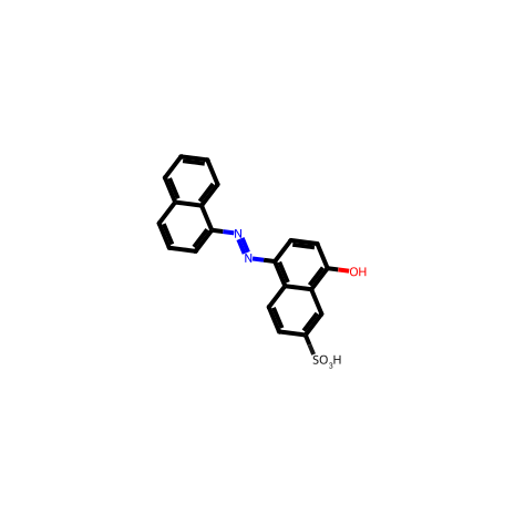 O=S(=O)(O)c1ccc2c(N=Nc3cccc4ccccc34)ccc(O)c2c1